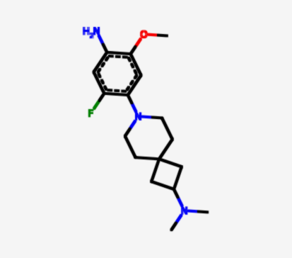 COc1cc(N2CCC3(CC2)CC(N(C)C)C3)c(F)cc1N